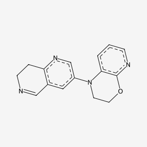 C1=NCCc2ncc(N3CCOc4ncccc43)cc21